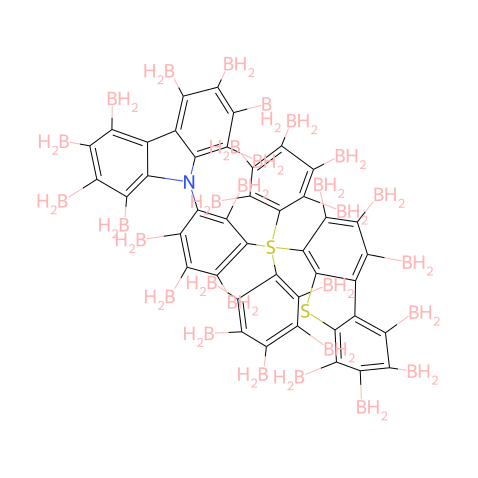 Bc1c(B)c(B)c(S(c2c(B)c(B)c(B)c(B)c2B)(c2c(B)c(B)c(B)c(-n3c4c(B)c(B)c(B)c(B)c4c4c(B)c(B)c(B)c(B)c43)c2B)c2c(B)c(B)c(B)c3c2sc2c(B)c(B)c(B)c(B)c23)c(B)c1B